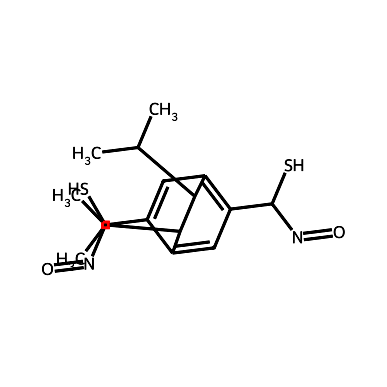 CC(C)C1c2cc(C(S)N=O)c(cc2C(S)N=O)C1C(C)C